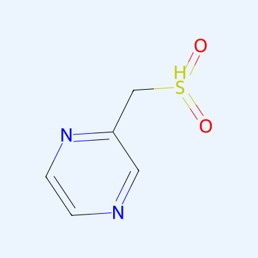 O=[SH](=O)Cc1cnccn1